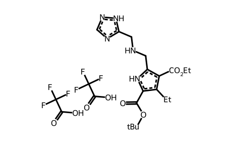 CCOC(=O)c1c(CNCc2ncn[nH]2)[nH]c(C(=O)OC(C)(C)C)c1CC.O=C(O)C(F)(F)F.O=C(O)C(F)(F)F